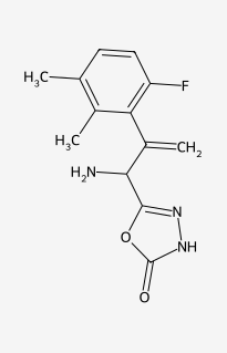 C=C(c1c(F)ccc(C)c1C)C(N)c1n[nH]c(=O)o1